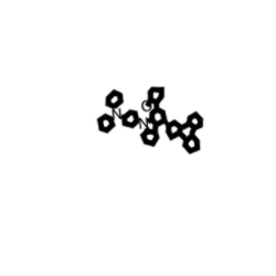 c1ccc(N(c2ccccc2)c2ccc(-n3c4ccccc4c4c(-c5ccc6c7ccccc7c7ccccc7c6c5)cc5c6ccccc6oc5c43)cc2)cc1